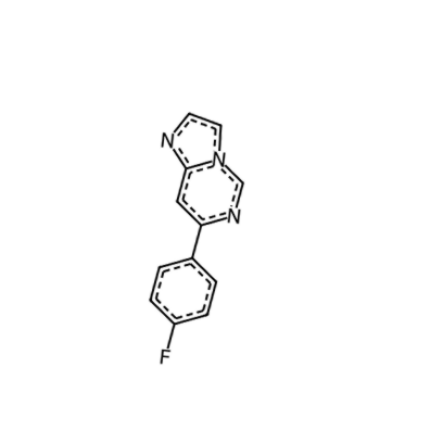 Fc1ccc(-c2cc3nccn3cn2)cc1